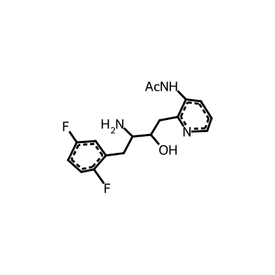 CC(=O)Nc1cccnc1CC(O)C(N)Cc1cc(F)ccc1F